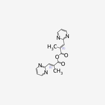 C/C(=C\c1ncccn1)C(=O)OC(=O)/C(C)=C/c1ncccn1